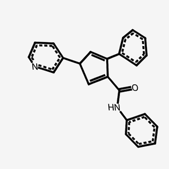 O=C(Nc1ccccc1)C1=CC(c2cccnc2)C=C1c1ccccc1